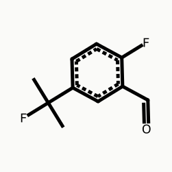 CC(C)(F)c1ccc(F)c(C=O)c1